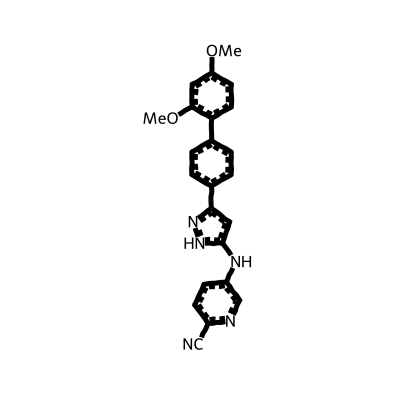 COc1ccc(-c2ccc(-c3cc(Nc4ccc(C#N)nc4)[nH]n3)cc2)c(OC)c1